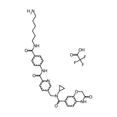 NCCCCCCNC(=O)c1ccc(NC(=O)c2ccc(CN(C(=O)c3ccc4c(c3)OCC(=O)N4)C3CC3)cn2)cc1.O=C(O)C(F)(F)F